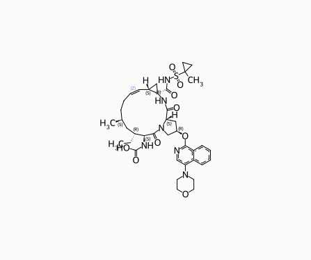 CC[C@@H]1C[C@@H](C)CC/C=C\[C@@H]2C[C@@]2(C(=O)NS(=O)(=O)C2(C)CC2)NC(=O)[C@@H]2C[C@@H](Oc3ncc(N4CCOCC4)c4ccccc34)CN2C(=O)[C@H]1NC(=O)O